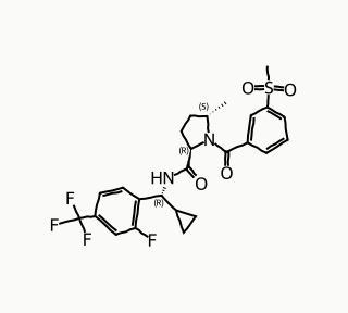 C[C@H]1CC[C@H](C(=O)N[C@@H](c2ccc(C(F)(F)F)cc2F)C2CC2)N1C(=O)c1cccc(S(C)(=O)=O)c1